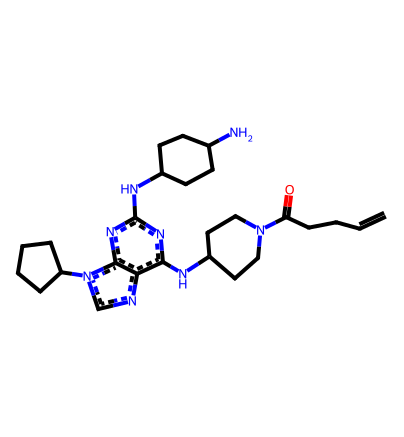 C=CCCC(=O)N1CCC(Nc2nc(NC3CCC(N)CC3)nc3c2ncn3C2CCCC2)CC1